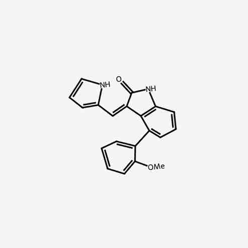 COc1ccccc1-c1cccc2c1C(=Cc1ccc[nH]1)C(=O)N2